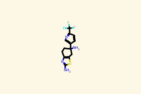 Nc1nc2c(s1)CC(N)(c1ccc(C(F)(F)F)nc1)CC2